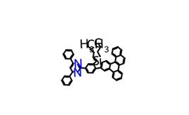 CCCC[Si]1(CCCC)c2cc(-c3nc(-c4ccccc4)cc(-c4ccccc4)n3)ccc2-c2cc3c4ccccc4c4ccc5ccccc5c4c3cc21